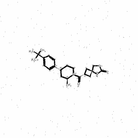 C[C@H]1C[C@H](c2ccc(C(C)(C)C)cc2)CCN1C(=O)[C@H]1C[C@]2(COC(=O)N2)C1